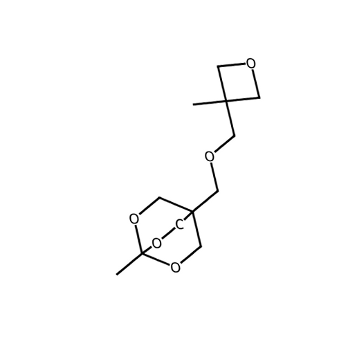 CC1(COCC23COC(C)(OC2)OC3)COC1